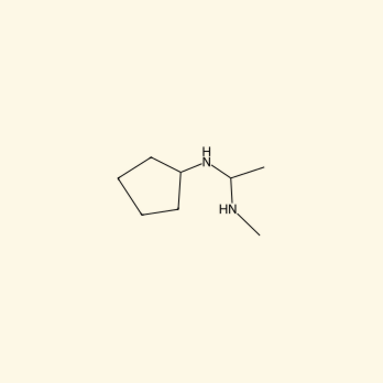 CNC(C)NC1CCCC1